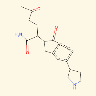 CC(=O)CCC(C(N)=O)C1Cc2cc(C3CCNC3)ccc2C1=O